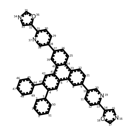 c1ccc(-c2cc3c4cc(-c5ccc(-c6cnco6)nc5)ccc4c4ccc(-c5ccc(-c6cnco6)nc5)cc4c3cc2-c2ccccc2)cc1